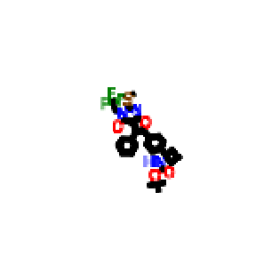 CSc1nc2oc(-c3ccc(C4(NC(=O)OC(C)(C)C)CCC4)cc3)c(-c3ccccc3)c2c(=O)n1CC(F)(F)F